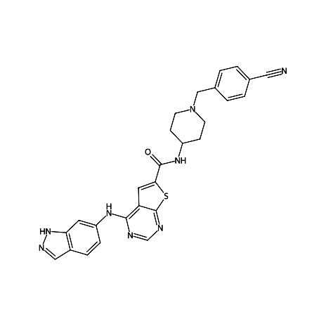 N#Cc1ccc(CN2CCC(NC(=O)c3cc4c(Nc5ccc6cn[nH]c6c5)ncnc4s3)CC2)cc1